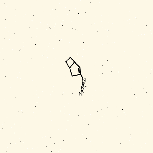 [N-]=[N+]=NC1=CC2CCC2C1